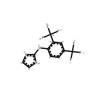 FC(F)(F)c1ccc(Oc2n[c]cs2)c(C(F)(F)F)c1